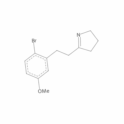 COc1ccc(Br)c(CCC2=NCCC2)c1